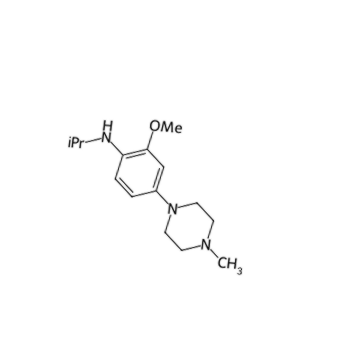 COc1cc(N2CCN(C)CC2)ccc1NC(C)C